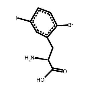 N[C@@H](Cc1cc(I)ccc1Br)C(=O)O